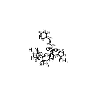 Cc1cscc1-c1cc(CC(C)C(C)(C)OC(N)=O)cn1S(=O)(=O)CC=Cc1cccnc1